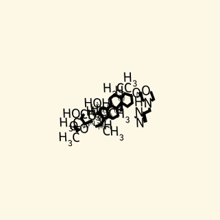 CC(=O)O[C@@H]([C@H]1C[C@@H](C)[C@H]2[C@H](O1)[C@H](O)[C@@]1(C)[C@@H]3CC[C@H]4C(C)(C)C(O[C@H]5CN(Cc6cnc[nH]6)CCO5)CCC45C[C@@]35CC[C@]21C)C(C)(C)O